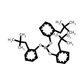 CC(C)(C)Cc1ccccc1[O][Bi]([O]c1ccccc1CC(C)(C)C)[O]c1ccccc1CC(C)(C)C